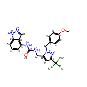 COc1ccc(Cn2nc(C(F)(F)F)cc2CNC(=O)Nc2cccc3[nH]ncc23)cc1